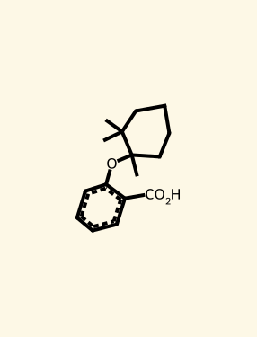 CC1(C)CCCCC1(C)Oc1ccccc1C(=O)O